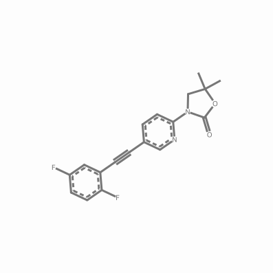 CC1(C)CN(c2ccc(C#Cc3cc(F)ccc3F)cn2)C(=O)O1